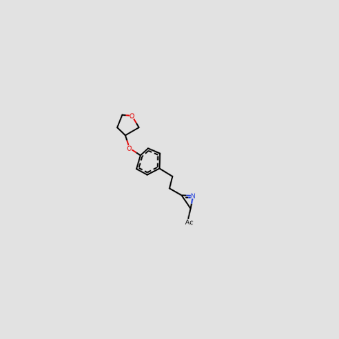 CC(=O)C1N=C1CCc1ccc(OC2CCOC2)cc1